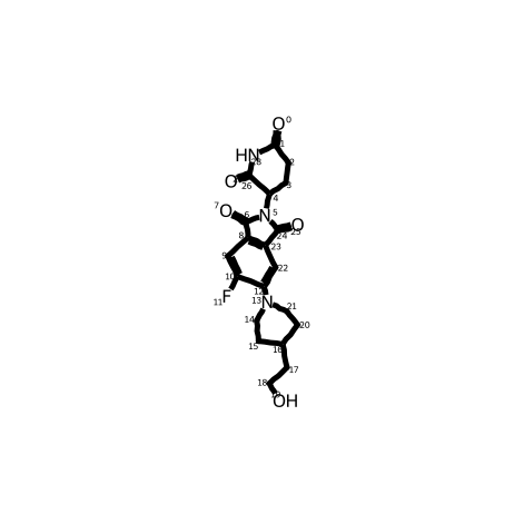 O=C1CCC(N2C(=O)c3cc(F)c(N4CCC(CCO)CC4)cc3C2=O)C(=O)N1